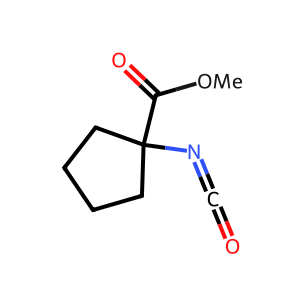 COC(=O)C1(N=C=O)CCCC1